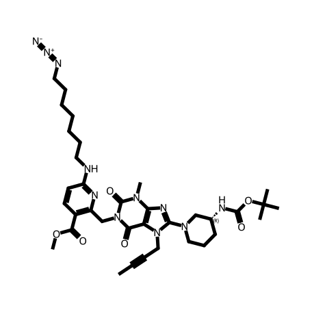 CC#CCn1c(N2CCC[C@@H](NC(=O)OC(C)(C)C)C2)nc2c1c(=O)n(Cc1nc(NCCCCCCCN=[N+]=[N-])ccc1C(=O)OC)c(=O)n2C